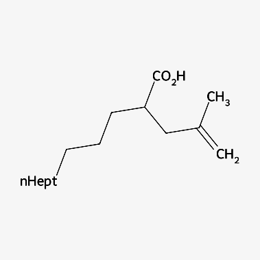 C=C(C)CC(CCCCCCCCCC)C(=O)O